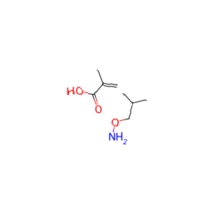 C=C(C)C(=O)O.CC(C)CON